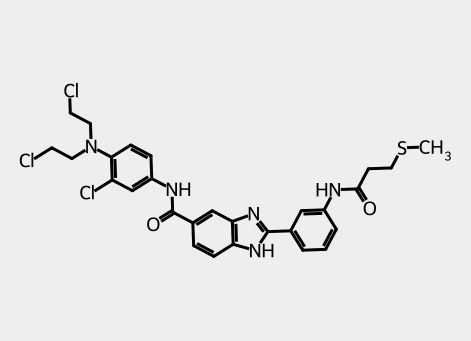 CSCCC(=O)Nc1cccc(-c2nc3cc(C(=O)Nc4ccc(N(CCCl)CCCl)c(Cl)c4)ccc3[nH]2)c1